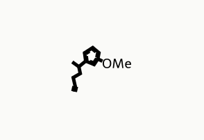 C#CCCC(C)c1cccc(OC)c1